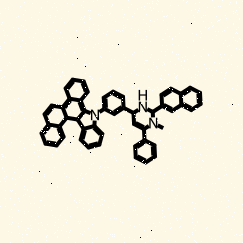 CN1C(c2ccccc2)=CC(c2cccc(N3C4=c5ccccc5=C5C=Cc6ccccc6C5C4c4ccccc43)c2)NC1c1ccc2ccccc2c1